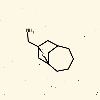 NCC12CC3CCCCC(C3)(C1)C2